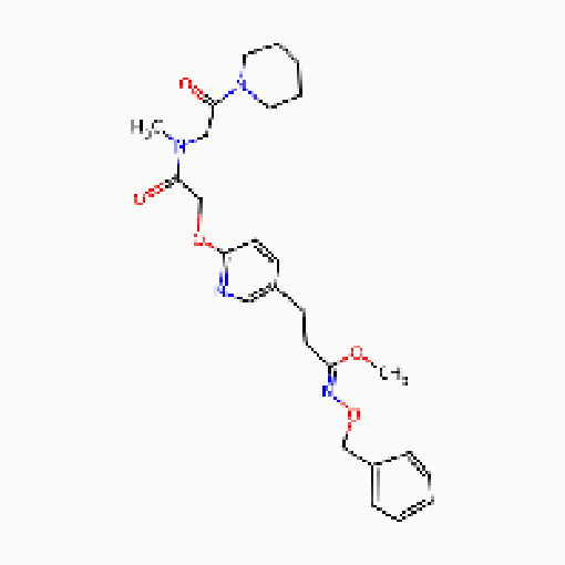 COC(CCc1ccc(OCC(=O)N(C)CC(=O)N2CCCCC2)nc1)=NOCc1ccccc1